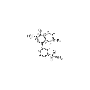 Cn1cc(-c2cccc(S(N)(=O)=O)c2)c2cc(F)ccc2c1=O